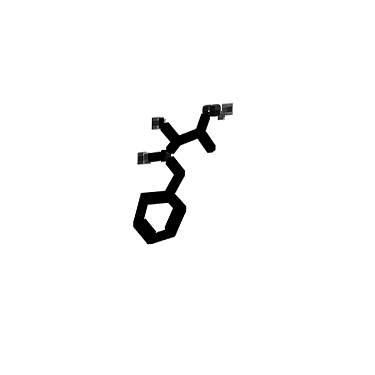 CCC(C(C)C(=O)O)N(CC)Cc1ccccc1